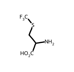 NC(CSC(F)(F)F)C(=O)O